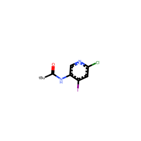 CC(C)(C)C(=O)Nc1cnc(Cl)cc1I